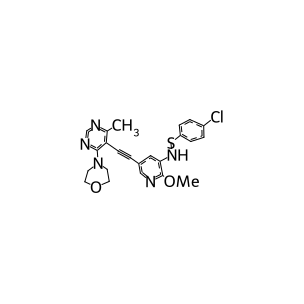 COc1ncc(C#Cc2c(C)ncnc2N2CCOCC2)cc1NSc1ccc(Cl)cc1